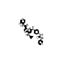 O=C(Nc1cccnc1)N[C@H]1CC[C@H](Nc2cc(NC3CC3)c3ncc(C(=O)Nc4ccncc4F)n3n2)CC1